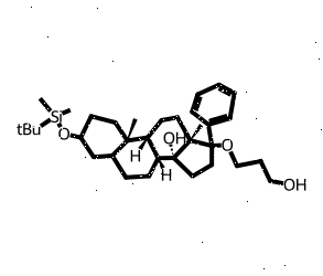 CC(C)(C)[Si](C)(C)OC1CC[C@@]2(C)C(CC[C@@H]3[C@H]2CC[C@]2(C)C(OCCCO)(c4ccccc4)CC[C@@]32O)C1